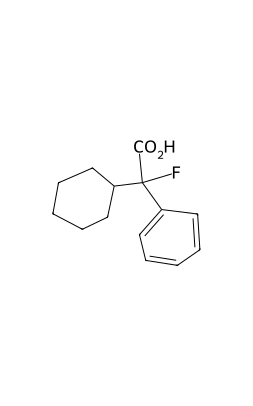 O=C(O)C(F)(c1ccccc1)C1CCCCC1